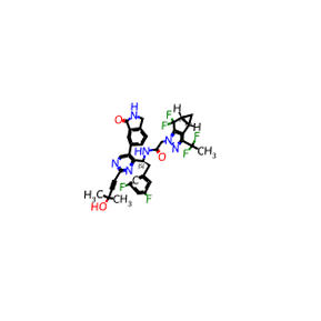 CC(C)(O)C#Cc1ncc(-c2ccc3c(c2)C(=O)NC3)c([C@H](Cc2cc(F)cc(F)c2)NC(=O)Cn2nc(C(C)(F)F)c3c2C(F)(F)[C@@H]2C[C@H]32)n1